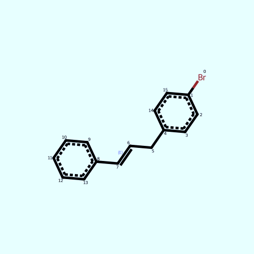 Brc1ccc(C/C=C/c2ccccc2)cc1